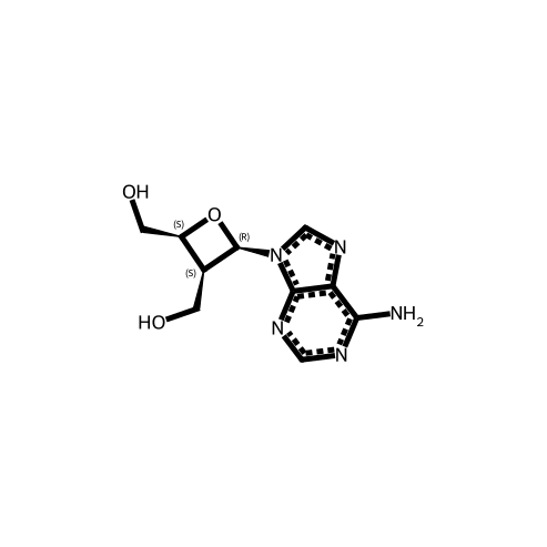 Nc1ncnc2c1ncn2[C@@H]1O[C@H](CO)[C@@H]1CO